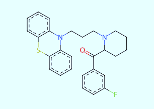 O=C(c1cccc(F)c1)C1CCCCN1CCCN1c2ccccc2Sc2ccccc21